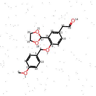 COc1ccc(COc2ccc(CC=O)cc2C2OCCO2)cc1